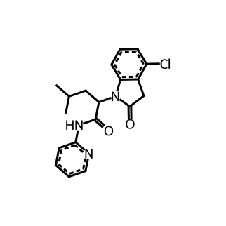 CC(C)CC(C(=O)Nc1ccccn1)N1C(=O)Cc2c(Cl)cccc21